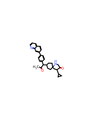 CC(=O)C(c1ccc(-c2ccc3cccnc3c2)cc1)C1CCC2(CC1)CC(C1CC1)C(=O)CN2